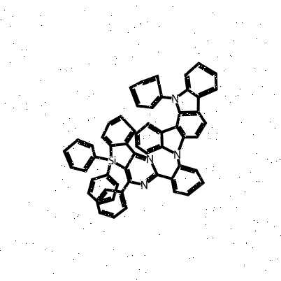 c1ccc(-c2nc(-c3ccccc3-n3c4ccccc4c4c3ccc3c5ccccc5n(-c5ccccc5)c34)nc3c2[Si](c2ccccc2)(c2ccccc2)c2ccccc2-3)cc1